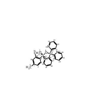 Cc1ccc(S(=O)(=O)OS(c2ccccn2)(c2ccccn2)c2ccccn2)c(C)c1